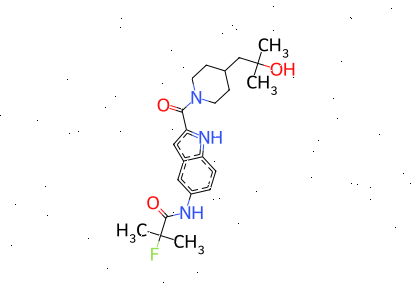 CC(C)(O)CC1CCN(C(=O)c2cc3cc(NC(=O)C(C)(C)F)ccc3[nH]2)CC1